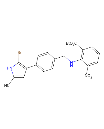 CCOC(=O)c1cccc([N+](=O)[O-])c1NCc1ccc(-c2cc(C#N)[nH]c2Br)cc1